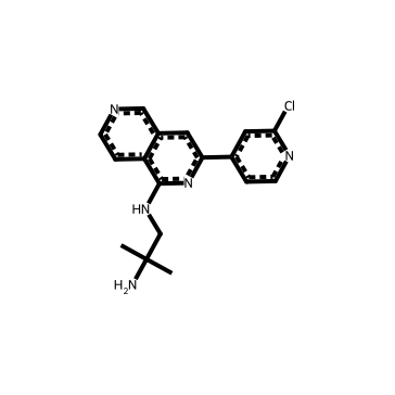 CC(C)(N)CNc1nc(-c2ccnc(Cl)c2)cc2cnccc12